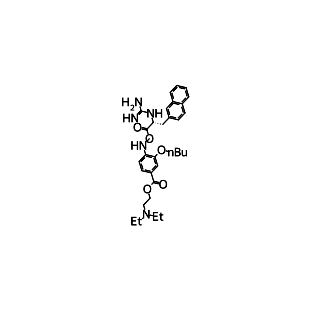 CCCCOc1cc(C(=O)OCCN(CC)CC)ccc1NOC(=O)[C@@H](Cc1ccc2ccccc2c1)NC(=N)N